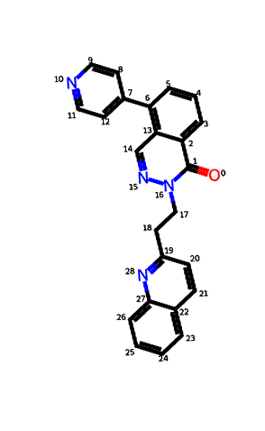 O=c1c2cccc(-c3ccncc3)c2cnn1CCc1ccc2ccccc2n1